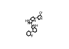 COc1cncc(-c2ccc3[nH]nc(-c4cc5c(-c6ccccc6F)cccc5[nH]4)c3n2)c1